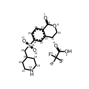 O=C(O)C(F)(F)F.O=C1OCCc2cc(S(=O)(=O)CC3CCNCC3)ccc21